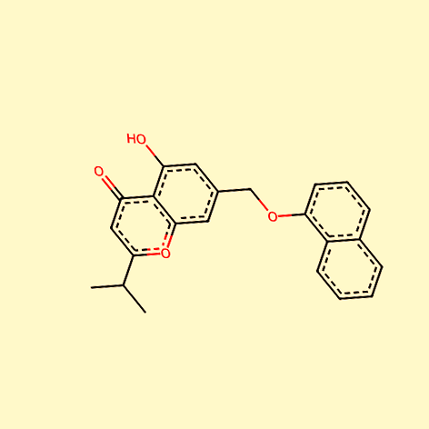 CC(C)c1cc(=O)c2c(O)cc(COc3cccc4ccccc34)cc2o1